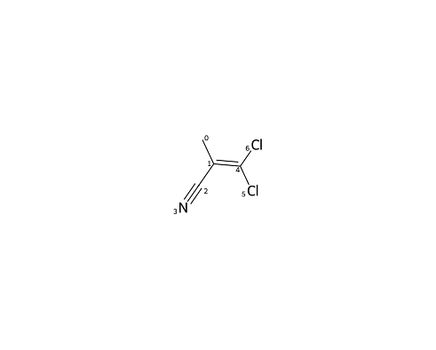 CC(C#N)=C(Cl)Cl